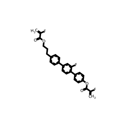 C=C(F)C(=O)OCCCc1ccc(-c2ccc(-c3ccc(OC(=O)C(=C)F)cc3)c(F)c2)cc1